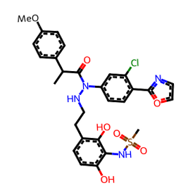 COc1ccc(C(C)C(=O)N(NCCc2ccc(O)c(NS(C)(=O)=O)c2O)c2ccc(-c3ncco3)c(Cl)c2)cc1